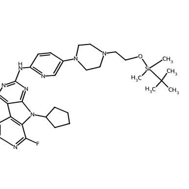 CC(C)(C)[Si](C)(C)OCCN1CCN(c2ccc(Nc3ncc4c5ccnc(F)c5n(C5CCCC5)c4n3)nc2)CC1